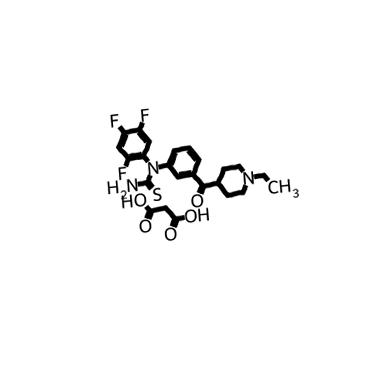 CCN1CCC(C(=O)c2cccc(N(C(N)=S)c3cc(F)c(F)cc3F)c2)CC1.O=C(O)CC(=O)O